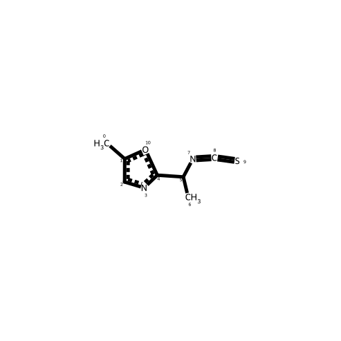 Cc1cnc(C(C)N=C=S)o1